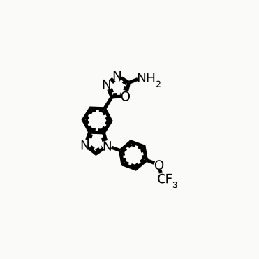 Nc1nnc(-c2ccc3ncn(-c4ccc(OC(F)(F)F)cc4)c3c2)o1